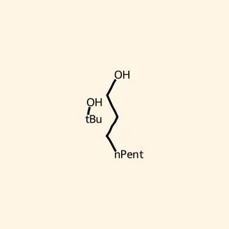 CC(C)(C)O.CCCCCCCCO